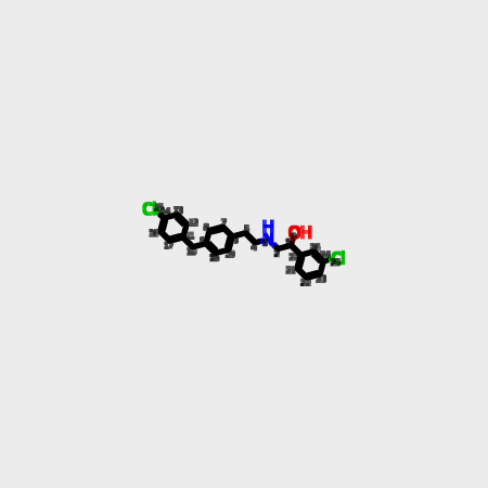 OC(CNCCc1ccc(Cc2ccc(Cl)cc2)cc1)c1cccc(Cl)c1